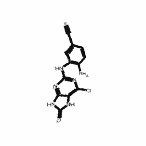 N#Cc1ccc(N)c(Nc2nc(Cl)c3[nH]c(=O)[nH]c3n2)c1